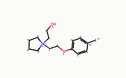 OCC[N+]1(CCOc2ccc(I)cc2)CCCC1